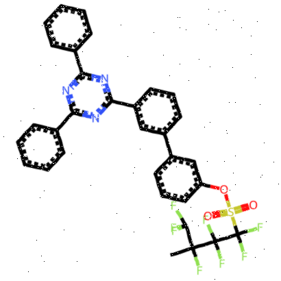 CC(F)(C(F)(F)F)C(F)(F)C(F)(F)S(=O)(=O)Oc1cccc(-c2cccc(-c3nc(-c4ccccc4)nc(-c4ccccc4)n3)c2)c1